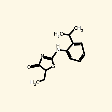 CCC1SC(Nc2ccccc2C(C)C)=NC1=O